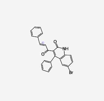 O=C(/C=C/c1ccccc1)c1c(-c2ccccc2)c2cc(Br)ccc2[nH]c1=O